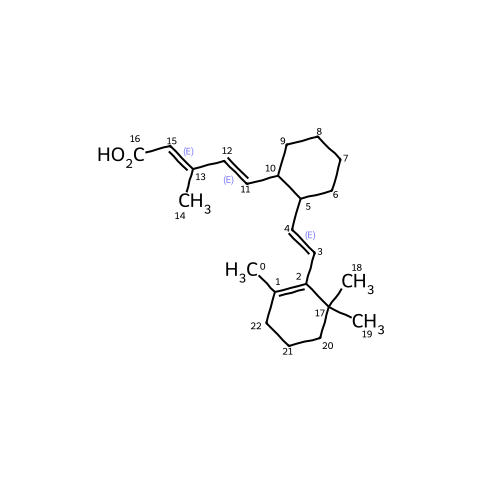 CC1=C(/C=C/C2CCCCC2/C=C/C(C)=C/C(=O)O)C(C)(C)CCC1